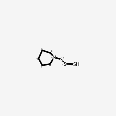 SSSN1CCCCC1